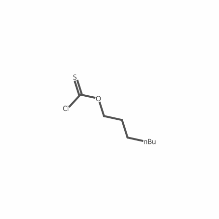 CCCCCCCOC(=S)Cl